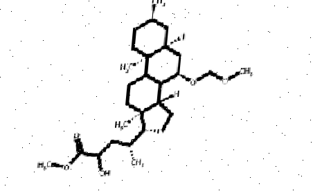 COCO[C@@H]1C[C@@H]2C[C@H](C)CC[C@]2(C)C2CC[C@]3(C)[C@@H]([C@H](C)CC(O)C(=O)OC)CC[C@H]3C21